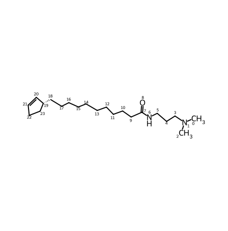 CN(C)CCCNC(=O)CCCCCCCCCC[C@H]1C=CCC1